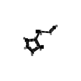 O=CNc1nnn[nH]1